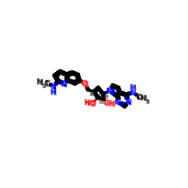 CNc1ccc2ccc(OC[C@H]3C[C@@H](n4ccc5c(NC)ncnc54)[C@H](O)[C@@H]3O)cc2n1